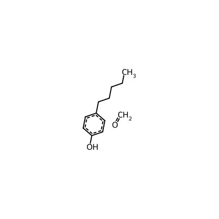 C=O.CCCCCc1ccc(O)cc1